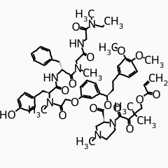 C=CC(=O)OCC(C)(C)C(=O)C(=O)N1CCN(C)C[C@H]1C(=O)O[C@H](CCc1ccc(OC)c(OC)c1)c1cccc(OCC(=O)N(C)[C@@H](Cc2ccc(O)cc2)C(=O)N[C@H](Cc2ccccc2)C(=O)N(C)CC(=O)NCC(=O)N(C)CC)c1